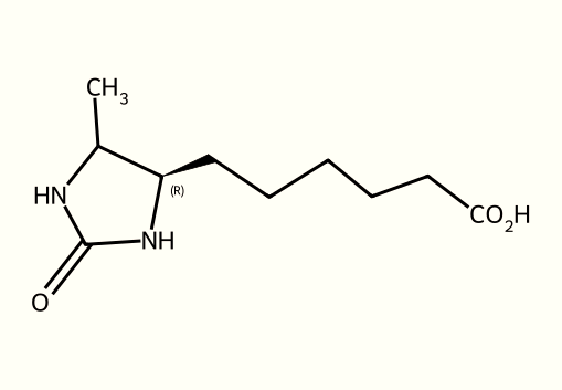 CC1NC(=O)N[C@@H]1CCCCCC(=O)O